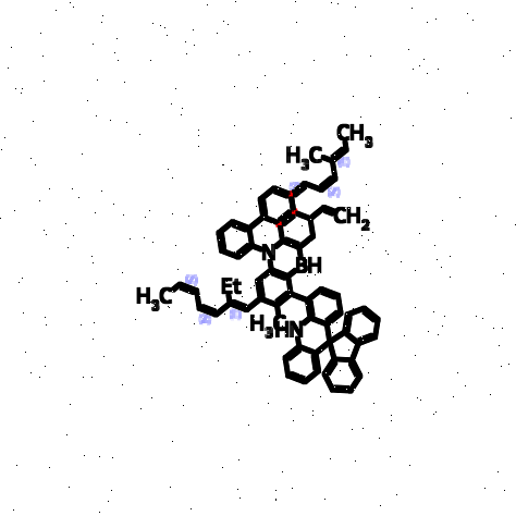 C=CC1CC2=C(C=C1\C=C/C=C\C(C)=C\C)N(c1ccccc1-c1ccccc1)c1cc(/C=C(/C=C\C=C/C)CC)c(C)c(-c3cccc4c3Nc3ccccc3C43c4ccccc4-c4ccccc43)c1B2